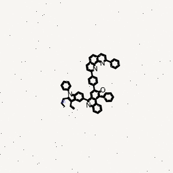 C=Cc1c(/C=C\C)n(-c2ccccc2)c2ccc(-c3nc4ccccc4c4c3cc(-c3ccc(-c5ccc6ccc7ccc(-c8ccccc8)nc7c6n5)cc3)c3oc5ccccc5c34)cc12